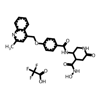 Cc1cc(COc2ccc(C(=O)NC3CNC(=O)CC3C(=O)NO)cc2)c2ccccc2n1.O=C(O)C(F)(F)F